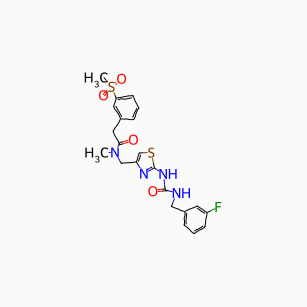 CN(Cc1csc(NC(=O)NCc2cccc(F)c2)n1)C(=O)Cc1cccc(S(C)(=O)=O)c1